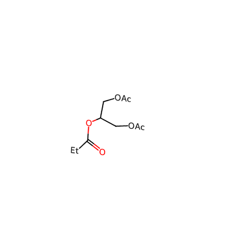 CCC(=O)OC(COC(C)=O)COC(C)=O